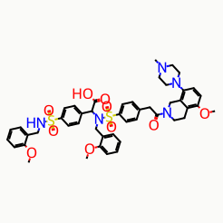 COc1ccccc1CNS(=O)(=O)c1ccc(C(C(=O)O)N(Cc2ccccc2OC)S(=O)(=O)c2ccc(CC(=O)N3CCc4c(OC)ccc(N5CCN(C)CC5)c4C3)cc2)cc1